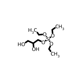 CCO[Si](OCC)(OCC)OCC(O)CO